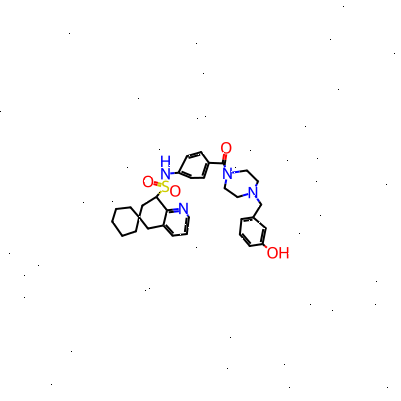 O=C(c1ccc(NS(=O)(=O)C2CC3(CCCCC3)Cc3cccnc32)cc1)N1CCN(Cc2cccc(O)c2)CC1